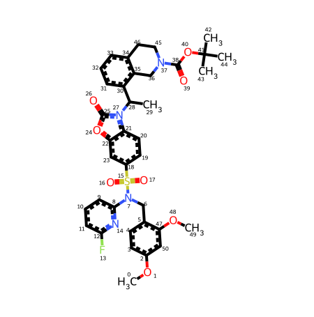 COc1ccc(CN(c2cccc(F)n2)S(=O)(=O)c2ccc3c(c2)oc(=O)n3C(C)c2cccc3c2CN(C(=O)OC(C)(C)C)CC3)c(OC)c1